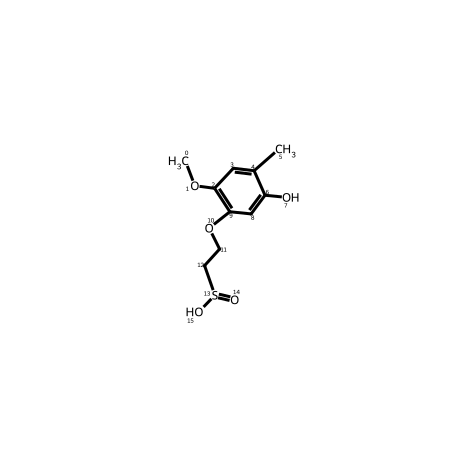 COc1cc(C)c(O)cc1OCCS(=O)O